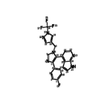 Fc1ccc(-c2ncn(Cc3cnn(C(F)(F)F)c3)c2-c2ccnc3[nH]ccc23)cc1